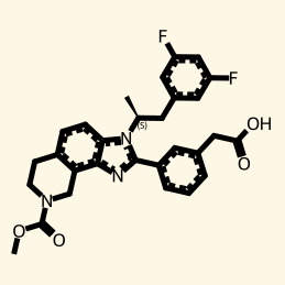 COC(=O)N1CCc2ccc3c(nc(-c4cccc(CC(=O)O)c4)n3[C@@H](C)Cc3cc(F)cc(F)c3)c2C1